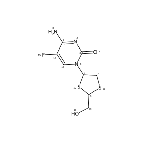 Nc1nc(=O)n(C2CSC(CO)S2)cc1F